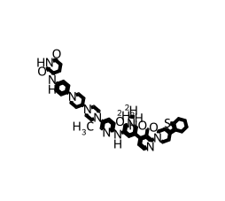 [2H]C([2H])([2H])n1cc(-c2ccnc(N3CCc4c(sc5c4CCCC5)C3=O)c2CO)cc(Nc2ccc(N3CCN(C4CCN(c5ccc(NC6CCC(=O)NC6=O)cc5)CC4)C[C@@H]3C)cn2)c1=O